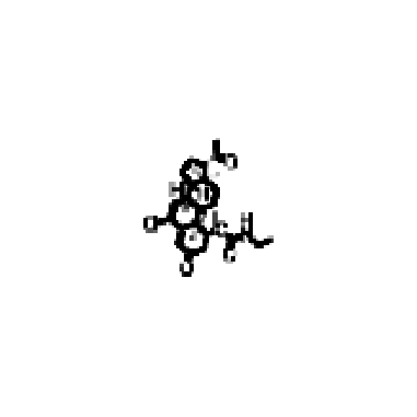 CCNC(=O)OC1CC(=O)C=C2C(Cl)=C[C@H]3[C@@H]4CC[C@H](C(C)=O)[C@@]4(C)CC[C@@H]3[C@]21C